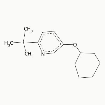 CC(C)(C)c1ccc(OC2CCCCC2)cn1